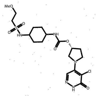 COCCS(=O)(=O)NC1CCC(NC(=O)O[C@@H]2CCN(c3cn[nH]c(=O)c3Cl)C2)CC1